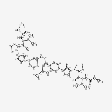 COC(=O)NC(C(=O)N1CCC[C@H]1c1ncc(-c2ccc3c(c2)OC(C2CC2)C2=C3COc3cc(-c4cnc([C@@H]5CCCN5C(=O)C(NC(=O)OC)C(C)C)[nH]4)ccc32)[nH]1)C(C)C